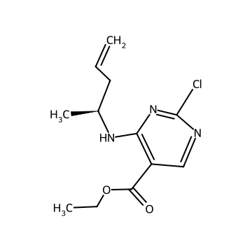 C=CC[C@H](C)Nc1nc(Cl)ncc1C(=O)OCC